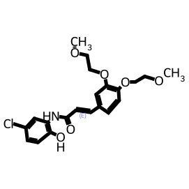 COCCOc1ccc(/C=C/C(=O)Nc2cc(Cl)ccc2O)cc1OCCOC